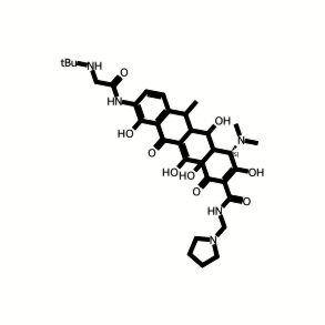 CC1c2ccc(NC(=O)CNC(C)(C)C)c(O)c2C(=O)C2=C(O)C3(O)C(=O)C(C(=O)NCN4CCCC4)=C(O)[C@@H](N(C)C)C3C(O)C21